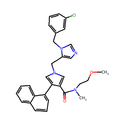 COCCN(C)C(=O)c1cn(Cc2cncn2Cc2cccc(Cl)c2)cc1-c1cccc2ccccc12